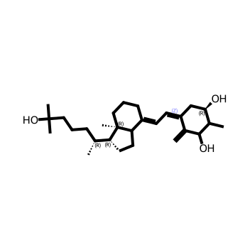 C=C1/C(=C\C=C2CCC[C@@]3(C)C2CC[C@@H]3[C@H](C)CCCC(C)(C)O)C[C@@H](O)C(C)C1O